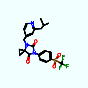 CC(C)Cc1cc(CN2C(=O)N(c3ccc(S(=O)(=O)C(F)(F)F)cc3)C(=O)C23CC3)ccn1